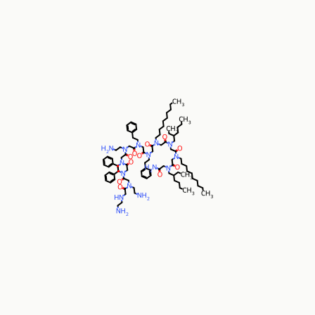 CCCCCCCCCCN(CC(=O)N(CC(=O)N(CCCCCCCCCC)CC(=O)N(CC(N)=O)CC(CC)CCCC)CC(CC)CCCC)C(=O)CN(CCc1ccccc1)C(=O)CN(CCc1ccccc1)C(=O)CN(CCN)C(=O)CN(CCc1ccccc1)C(=O)CN(CCc1ccccc1)C(=O)CN(CCN)C(=O)CNCCN